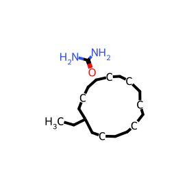 CCC1CCCCCCCCCCCCCCC1.NC(N)=O